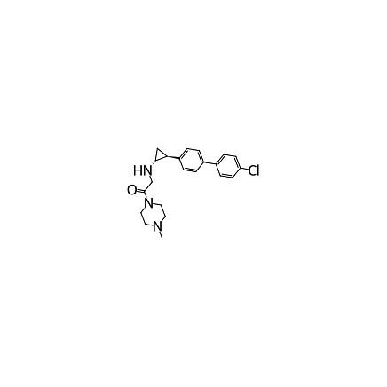 CN1CCN(C(=O)CN[C@@H]2C[C@H]2c2ccc(-c3ccc(Cl)cc3)cc2)CC1